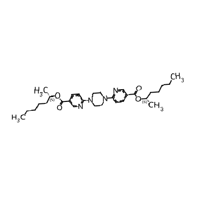 CCCCC[C@H](C)OC(=O)c1ccc(N2CCN(c3ccc(C(=O)O[C@@H](C)CCCCC)cn3)CC2)nc1